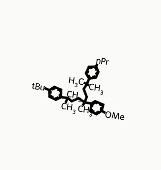 CCCc1ccc(C(C)(C)CCC(C)(CCC(C)(C)c2ccc(C(C)(C)C)cc2)c2ccc(OC)cc2)cc1